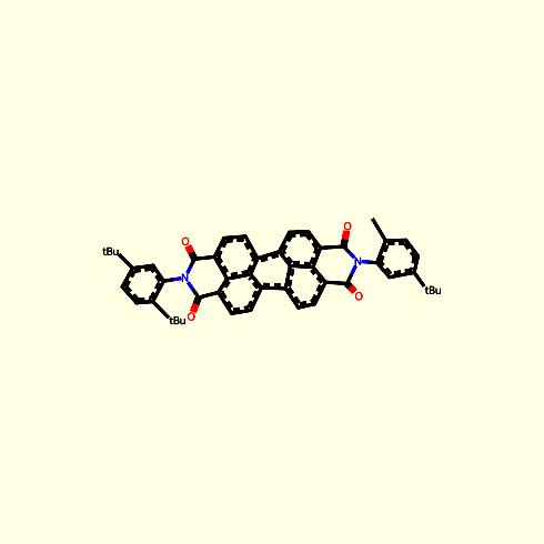 Cc1ccc(C(C)(C)C)cc1N1C(=O)c2ccc3c4ccc5c6c(ccc(c7ccc(c2c37)C1=O)c64)C(=O)N(c1cc(C(C)(C)C)ccc1C(C)(C)C)C5=O